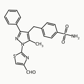 Cc1c(Cc2ccc(S(N)(=O)=O)cc2)c(-c2ccccc2)nn1-c1nc(C=O)cs1